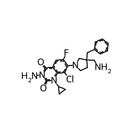 NCC1(Cc2ccccc2)CCN(c2c(F)cc3c(=O)n(N)c(=O)n(C4CC4)c3c2Cl)C1